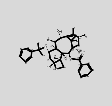 CC1=C2[C@@H](O)[C@H](O)[C@]3(C)[C@@H](OC(C)(C)c4ccccc4)C[C@H]4OC[C@@]4(C)[C@H]3[C@H](OC(=O)c3ccccc3)[C@](O)(C[C@@H]1C)C2(C)C